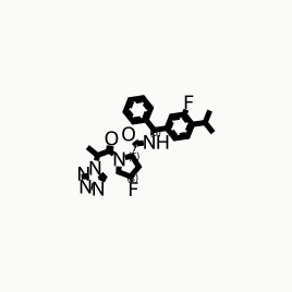 CC(C)c1ccc([C@@H](NC(=O)[C@@H]2C[C@@H](F)CN2C(=O)C(C)n2cnnn2)c2ccccc2)cc1F